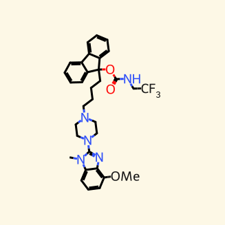 COc1cccc2c1nc(N1CCN(CCCCC3(OC(=O)NCC(F)(F)F)c4ccccc4-c4ccccc43)CC1)n2C